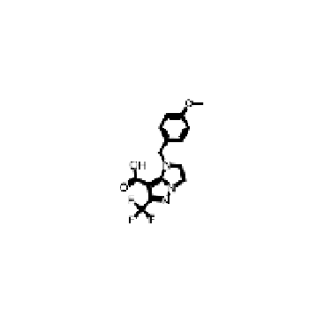 COc1ccc(CN2CCn3nc(C(F)(F)F)c(C(=O)O)c32)cc1